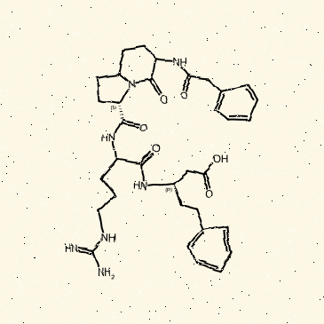 N=C(N)NCCCC(NC(=O)[C@@H]1CCC2CCC(NC(=O)Cc3ccccc3)C(=O)N21)C(=O)N[C@H](CCc1ccccc1)CC(=O)O